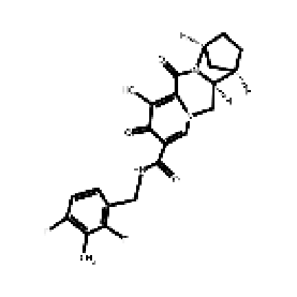 Cc1c(F)ccc(CNC(=O)c2cn3c(c(O)c2=O)C(=O)N2[C@H]4CC[C@H](C4)[C@H]2C3)c1F